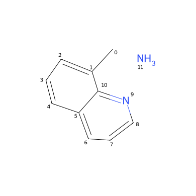 Cc1cccc2cccnc12.N